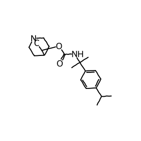 CC(C)c1ccc(C(C)(C)NC(=O)OC2CN3CCC2CC3)cc1